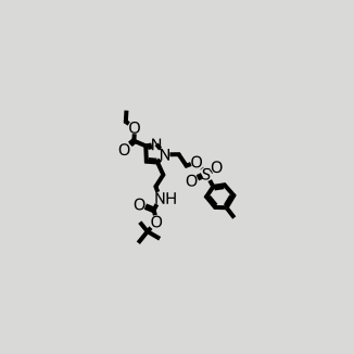 CCOC(=O)c1cc(CCNC(=O)OC(C)(C)C)n(CCOS(=O)(=O)c2ccc(C)cc2)n1